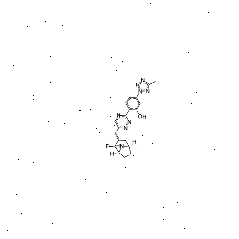 Cc1nnn(-c2ccc(-c3ncc(/C=C4\C[C@H]5CC[C@H](N5)[C@H]4F)nn3)c(O)c2)n1